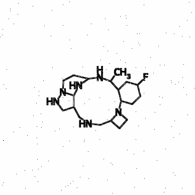 CC1NC2CCN3NCC(CNCC4CCN4C4CCC(F)CC14)C3N2